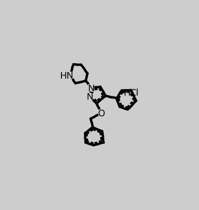 Cl.c1ccc(COc2nn(C3CCCNC3)cc2-c2ccccc2)cc1